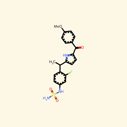 COc1ccc(C(=O)c2ccc(C(C)c3ccc(NS(N)(=O)=O)cc3F)[nH]2)cc1